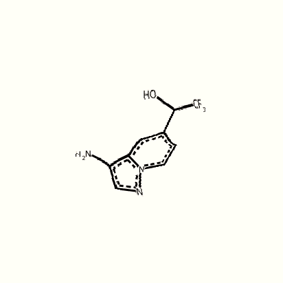 Nc1cnn2ccc(C(O)C(F)(F)F)cc12